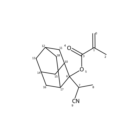 C=C(C)C(=O)OC1(C(C)C#N)C2CC3CC(C2)CC1C3